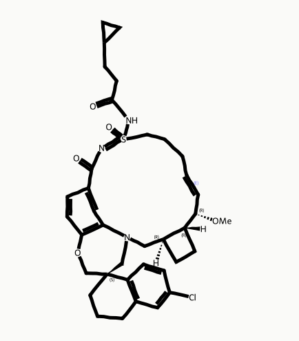 CO[C@H]1/C=C/CCCS(=O)(NC(=O)CCC2CC2)=NC(=O)c2ccc3c(c2)N(C[C@@H]2CC[C@H]21)C[C@@]1(CCCc2cc(Cl)ccc21)CO3